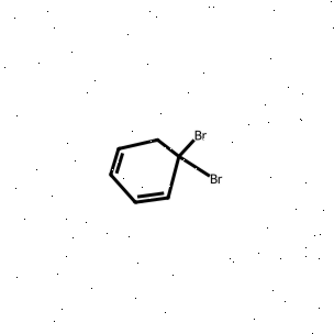 BrC1(Br)C=CC=CC1